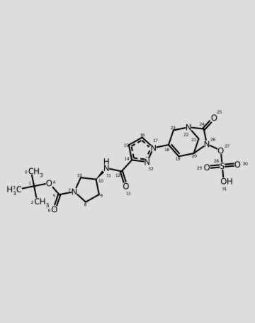 CC(C)(C)OC(=O)N1CC[C@H](NC(=O)c2ccn(C3=CC4CN(C3)C(=O)N4OS(=O)(=O)O)n2)C1